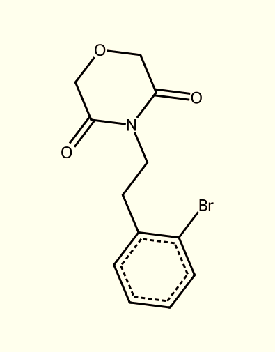 O=C1COCC(=O)N1CCc1ccccc1Br